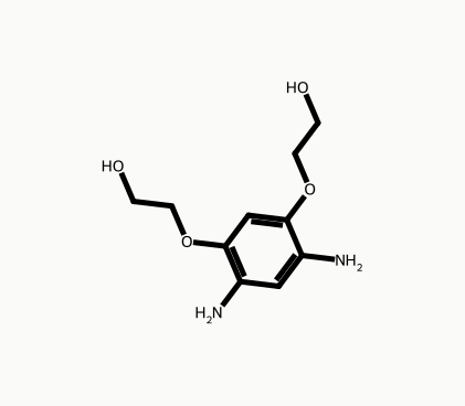 Nc1cc(N)c(OCCO)cc1OCCO